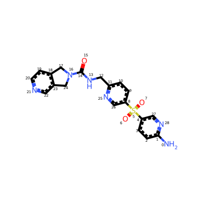 Nc1ccc(S(=O)(=O)c2ccc(CNC(=O)N3Cc4ccncc4C3)nc2)cn1